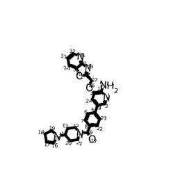 Nc1ncc(-c2ccc(C(=O)N3CCC(N4CCCC4)CC3)cc2)cc1OCc1nc2ncccc2o1